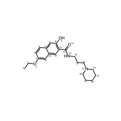 CCOc1ccc2cc(O)c(C(=O)NCCCN3CCCCC3)cc2c1